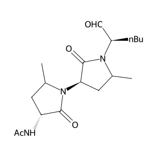 CCCC[C@H](C=O)N1C(=O)[C@H](N2C(=O)[C@H](NC(C)=O)CC2C)CC1C